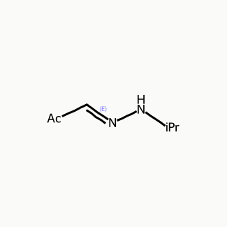 CC(=O)/C=N/NC(C)C